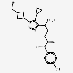 Cc1ccc(N(Cl)C(=O)CCC(C(=O)O)c2noc(C3CC(CC(C)C)C3)c2C2CC2)cc1